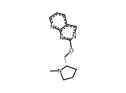 CN1CCC[C@H]1COc1ncc2cccnc2n1